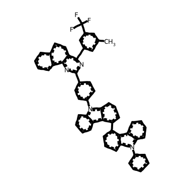 Cc1cc(-c2nc(-c3ccc(-n4c5ccccc5c5c(-c6cccc7c6c6ccccc6n7-c6ccccc6)cccc54)cc3)nc3c2ccc2ccccc23)cc(C(F)(F)F)c1